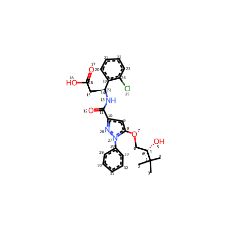 CC(C)(C)[C@@H](O)COc1cc(C(=O)N[C@@H](CC(=O)O)c2ccccc2Cl)nn1-c1ccccc1